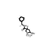 C[C@@H](NC(=O)C1(F)CC(C(C)(C)C)N(C(=O)O)C1)c1ccccc1